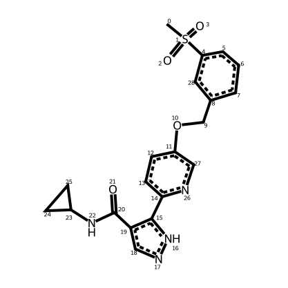 CS(=O)(=O)c1cccc(COc2ccc(-c3[nH]ncc3C(=O)NC3CC3)nc2)c1